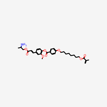 C=C(C)C(=O)OCCCCCCCCOc1ccc(C(=O)Oc2ccc(/C=C/C(=O)OCC(C)N)cc2OC)cc1